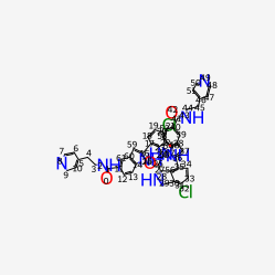 O=C(NCCc1ccncc1)c1ccc2[nH]c(-c3ccc(Cl)c4c3C(C(=O)C3NCc5c(Cl)ccc(-c6cc7cc(C(=O)NCCc8ccncc8)ccc7[nH]6)c53)NC4)cc2c1